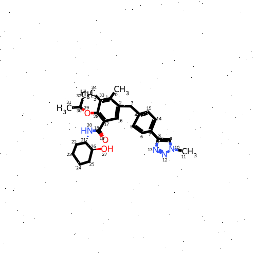 Cc1c(Cc2ccc(-c3cn(C)nn3)cc2)cc(C(=O)N[C@H]2CCCC[C@@H]2O)c(OC(C)C)c1C